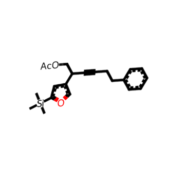 CC(=O)OCC(C#CCCc1ccccc1)c1coc([Si](C)(C)C)c1